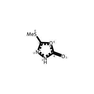 CSc1n[nH]c(=O)o1